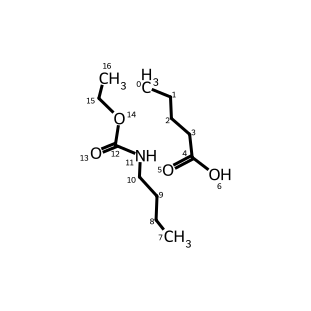 CCCCC(=O)O.CCCCNC(=O)OCC